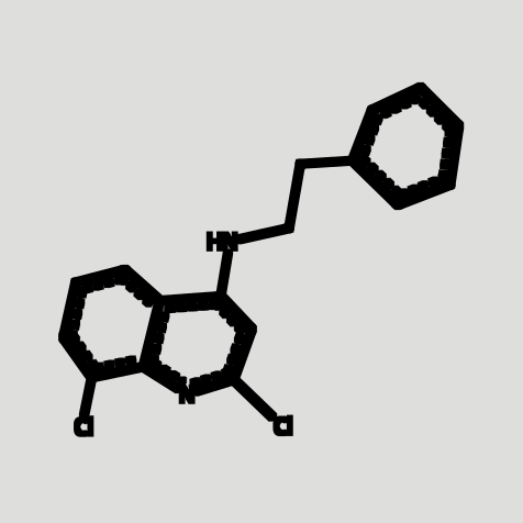 Clc1cc(NCCc2ccccc2)c2cccc(Cl)c2n1